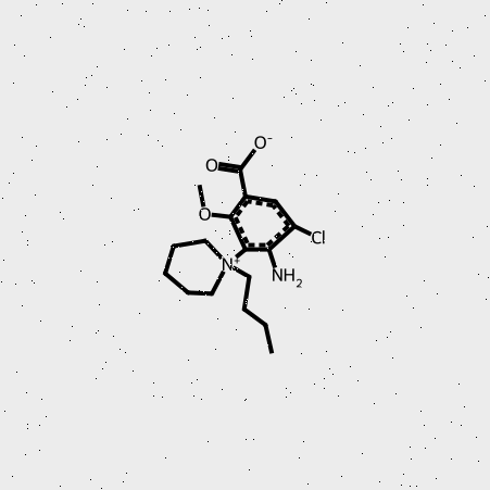 CCCC[N+]1(c2c(N)c(Cl)cc(C(=O)[O-])c2OC)CCCCC1